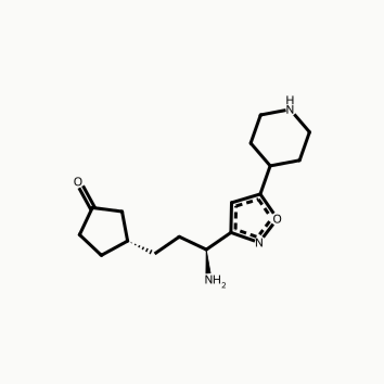 N[C@@H](CC[C@@H]1CCC(=O)C1)c1cc(C2CCNCC2)on1